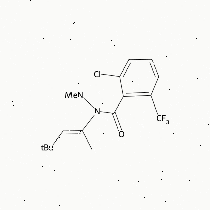 CNN(C(=O)c1c(Cl)cccc1C(F)(F)F)/C(C)=C/C(C)(C)C